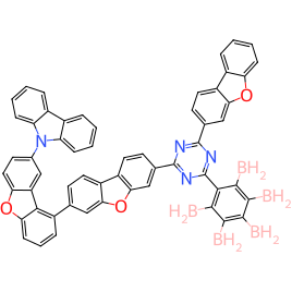 Bc1c(B)c(B)c(-c2nc(-c3ccc4c(c3)oc3ccccc34)nc(-c3ccc4c(c3)oc3cc(-c5cccc6oc7ccc(-n8c9ccccc9c9ccccc98)cc7c56)ccc34)n2)c(B)c1B